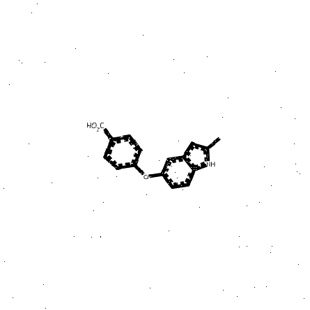 Cc1cc2cc(Oc3ccc(C(=O)O)cc3)ccc2[nH]1